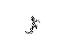 COC(=O)c1cccc(NC(=O)Nc2ccc(N3C=Nc4occc4C3N)cc2)c1